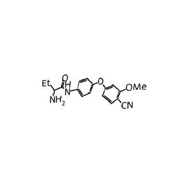 CCC(N)C(=O)Nc1ccc(Oc2ccc(C#N)c(OC)c2)cc1